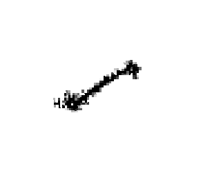 CC1=C(/C=C/C(C)=C/C=C/C(C)=C/C=C/C=C(C)/C=C/C=C(C)/C=C/C2=C(C)C(=O)[C@@H](O)CC2(C)C)C(C)(C)C[C@H](C)C1=O